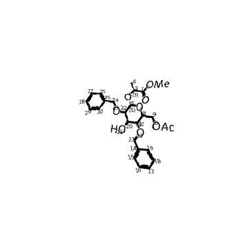 COC(=O)[C@H](C)O[C@@H]1OC(COC(C)=O)[C@@H](OCc2ccccc2)C(O)C1OCc1ccccc1